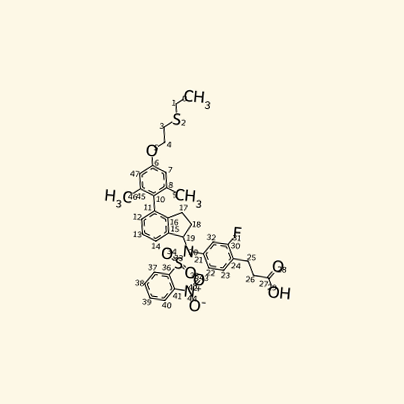 CCSCCOc1cc(C)c(-c2cccc3c2CCC3N(c2ccc(CCC(=O)O)c(F)c2)S(=O)(=O)c2ccccc2[N+](=O)[O-])c(C)c1